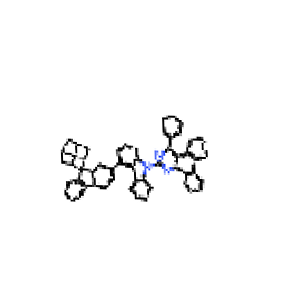 c1ccc(-c2nc(-n3c4ccccc4c4c(-c5ccc6c(c5)C5(c7ccccc7-6)C6CC7CC8CC5C786)cccc43)nc3c4ccccc4c4ccccc4c23)cc1